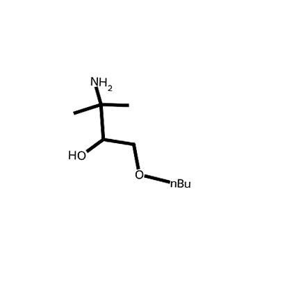 CCCCOCC(O)C(C)(C)N